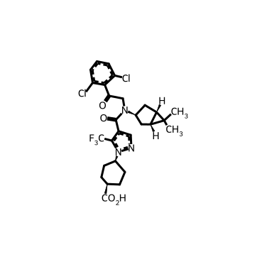 CC1(C)[C@@H]2C[C@@H](N(CC(=O)c3c(Cl)cccc3Cl)C(=O)c3cnn([C@H]4CC[C@@H](C(=O)O)CC4)c3C(F)(F)F)C[C@@H]21